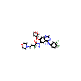 O=C(Nc1cc2c(Nc3ccc(F)c(Cl)c3)ncnc2cc1OC1CCOC1)C(F)=CCN1CCOCC1